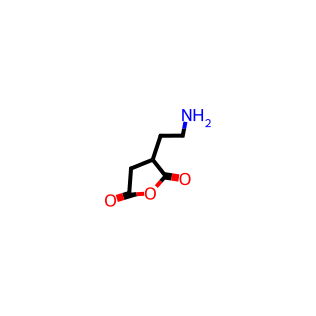 NCCC1CC(=O)OC1=O